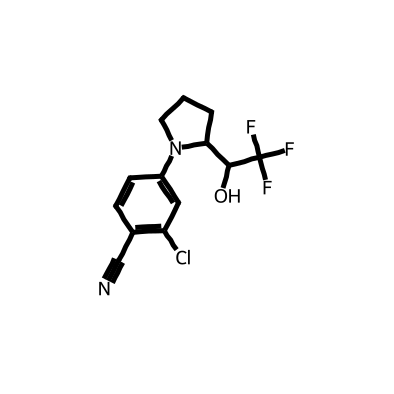 N#Cc1ccc(N2CCCC2C(O)C(F)(F)F)cc1Cl